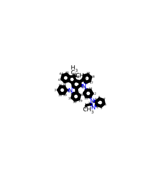 CCc1nc2ccccc2n1-c1ccc(-n2c3ccccc3c3c4c(c5c(c6ccccc6n5-c5ccccc5)c32)-c2ccccc2C4(C)C)cc1